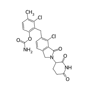 Cc1ccc(OC(N)=O)c(Cc2ccc3c(c2Cl)C(=O)N(C2CCC(=O)NC2=O)C3)c1Cl